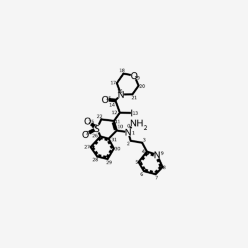 NN(CCc1ccccn1)C1=C(C(I)C(=O)N2CCOCC2)CS(=O)(=O)c2ccccc21